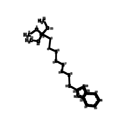 CO[Si](CCSSSSSSc1nc2ccccc2s1)(OC)OC